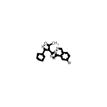 Cc1onc(-c2ccccc2)c1-c1nnc2c3cc(Br)ccc3cnn12